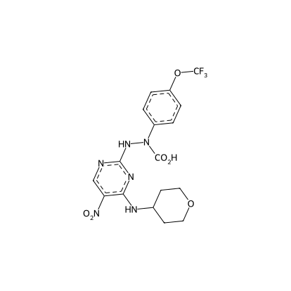 O=C(O)N(Nc1ncc([N+](=O)[O-])c(NC2CCOCC2)n1)c1ccc(OC(F)(F)F)cc1